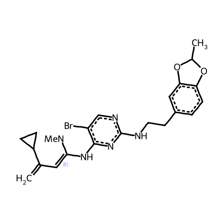 C=C(/C=C(\NC)Nc1nc(NCCc2ccc3c(c2)OC(C)O3)ncc1Br)C1CC1